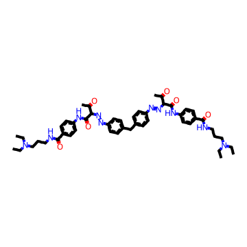 CCN(CC)CCCNC(=O)c1ccc(NC(=O)C(N=Nc2ccc(Cc3ccc(N=NC(C(C)=O)C(=O)Nc4ccc(C(=O)NCCCN(CC)CC)cc4)cc3)cc2)C(C)=O)cc1